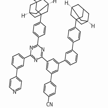 N#Cc1ccc(-c2cc(-c3cccc(-c4ccc(C56CC7C[C@H](C5)C[C@@H](C7)C6)cc4)c3)cc(-c3nc(-c4ccc(C56C[C@H]7C[C@@H](C5)C[C@@H](C6)C7)cc4)nc(-c4cccc(-c5ccncc5)c4)n3)c2)cc1